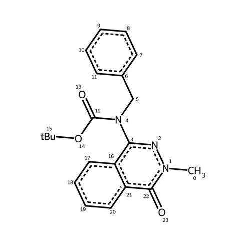 Cn1nc(N(Cc2ccccc2)C(=O)OC(C)(C)C)c2ccccc2c1=O